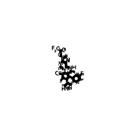 Cc1c(Cl)cc(C(C)Nc2ncnc3c2ncn3OC(=O)C(F)(F)F)c(-c2cccc(F)c2)c1-c1cn[nH]c1